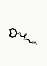 NCCNC(=O)CO[C@H]1CC/C=C/CCC1